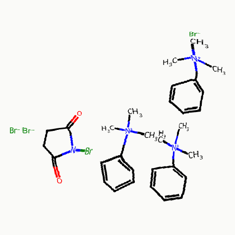 C[N+](C)(C)c1ccccc1.C[N+](C)(C)c1ccccc1.C[N+](C)(C)c1ccccc1.O=C1CCC(=O)N1Br.[Br-].[Br-].[Br-]